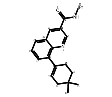 CC(C)NC(=O)c1cnc2c(C3=CCC(C)(C)CC3)cccc2c1